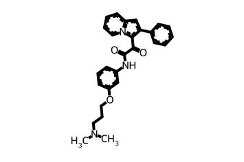 CN(C)CCCOc1cccc(NC(=O)C(=O)c2c(-c3ccccc3)cc3ccccn23)c1